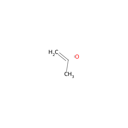 C=CC.[O]